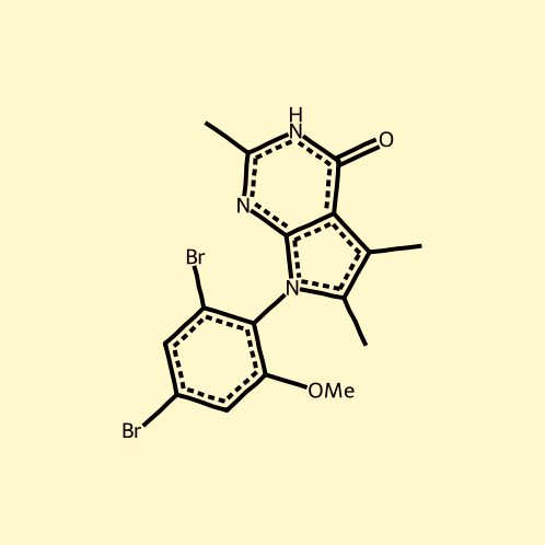 COc1cc(Br)cc(Br)c1-n1c(C)c(C)c2c(=O)[nH]c(C)nc21